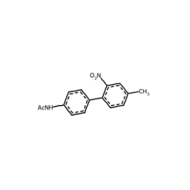 CC(=O)Nc1ccc(-c2ccc(C)cc2[N+](=O)[O-])cc1